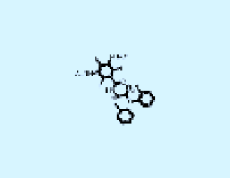 CC(=O)Nc1c(I)c(NC(C)=O)c(I)c(C(=O)N[C@@H](Cc2ccccc2)C(=O)Oc2ccccc2[N+](=O)[O-])c1I